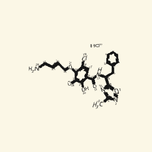 Cc1noc(C(Cc2ccccc2)NC(=O)c2cc(Cl)c(OCCCCN)c(Cl)c2O)n1.Cl